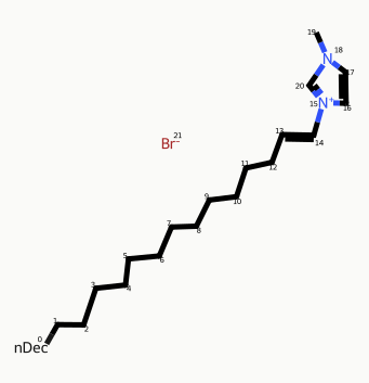 CCCCCCCCCCCCCCCCCCCCCCC=C[n+]1ccn(C)c1.[Br-]